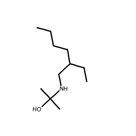 CCCCC(CC)CNC(C)(C)O